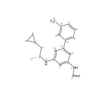 CCCC(C)Nc1nc(N[C@H](C)CC2CC2)nc(-c2cccc(C(F)(F)F)n2)n1